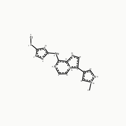 CCSc1nnc(Nc2nccn3c(-c4cnn(C)c4)cnc23)s1